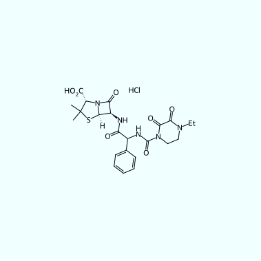 CCN1CCN(C(=O)NC(C(=O)N[C@@H]2C(=O)N3[C@@H]2SC(C)(C)[C@@H]3C(=O)O)c2ccccc2)C(=O)C1=O.Cl